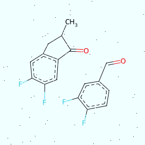 CC1Cc2cc(F)c(F)cc2C1=O.O=Cc1ccc(F)c(F)c1